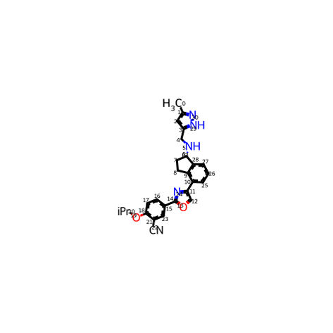 Cc1cc(CN[C@H]2CCc3c(-c4coc(-c5ccc(OC(C)C)c(C#N)c5)n4)cccc32)[nH]n1